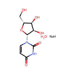 O.O=c1ccn([C@@H]2O[C@H](CO)[C@@H](O)[C@H]2O)c(=O)[nH]1.[NaH]